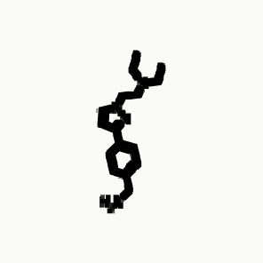 CCN(CC)CCn1[c]cc(-c2ccc(CN)cc2)n1